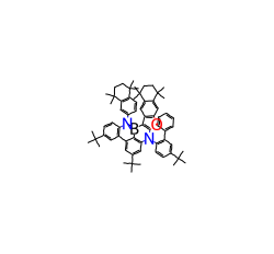 CC(C)(C)c1ccc2c(c1)-c1cc(C(C)(C)C)cc3c1B(c1c(oc4cc5c(cc14)C(C)(C)CCC5(C)C)N3c1ccc(C(C)(C)C)cc1-c1ccccc1)N2c1ccc2c(c1)C(C)(C)CCC2(C)C